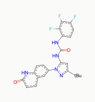 CC(C)(C)c1cc(NC(=O)Nc2ccc(F)c(F)c2F)n(-c2ccc3[nH]c(=O)ccc3c2)n1